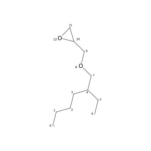 [CH2]CCCC(CC)COCC1CO1